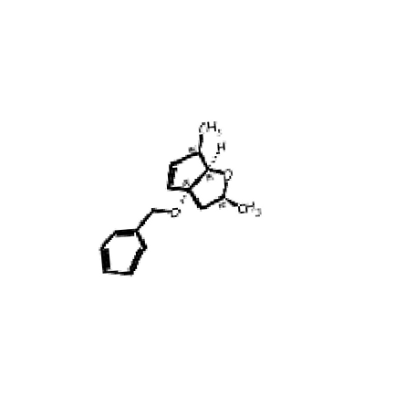 C[C@@H]1C=C[C@]2(OCc3ccccc3)C[C@H](C)O[C@H]12